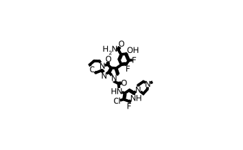 CN1CCN(C2=CC(NC(=O)Cn3cc(-c4cc(C(N)=O)c(O)c(F)c4F)c4c(=O)n5c(nc43)CCCCC5)=C(Cl)C(F)N2)CC1